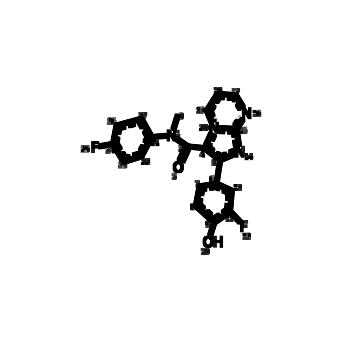 CN(C(=O)c1c(-c2ccc(O)c(F)c2)nc2ncccn12)c1ccc(F)cc1